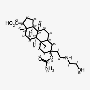 C[C@]12CCC(CCNCCO)(OC(N)=O)CC1CC[C@@H]1[C@@H]2CC[C@]2(C)C(C(=O)O)CC[C@@H]12